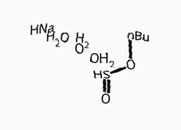 CCCCO[SH]=O.O.O.O.[NaH]